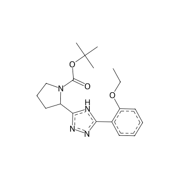 CCOc1ccccc1-c1nnc(C2CCCN2C(=O)OC(C)(C)C)[nH]1